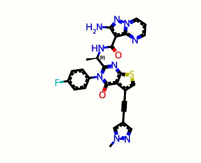 C[C@@H](NC(=O)c1c(N)nn2cccnc12)c1nc2scc(C#Cc3cnn(C)c3)c2c(=O)n1-c1ccc(F)cc1